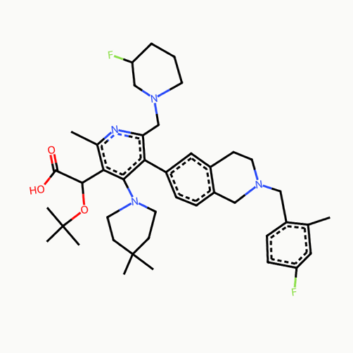 Cc1cc(F)ccc1CN1CCc2cc(-c3c(CN4CCCC(F)C4)nc(C)c(C(OC(C)(C)C)C(=O)O)c3N3CCC(C)(C)CC3)ccc2C1